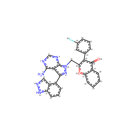 Nc1ncnc2c1c(-c1cccc3[nH]ncc13)nn2Cc1oc2ccccc2c(=O)c1-c1cccc(F)c1